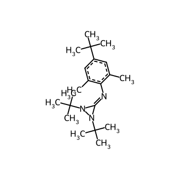 Cc1cc(C(C)(C)C)cc(C)c1N=C1N(C(C)(C)C)N1C(C)(C)C